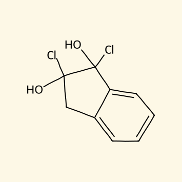 OC1(Cl)Cc2ccccc2C1(O)Cl